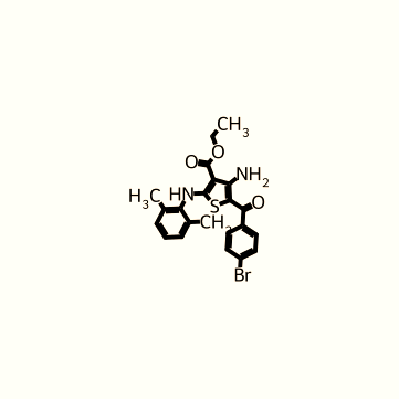 CCOC(=O)c1c(Nc2c(C)cccc2C)sc(C(=O)c2ccc(Br)cc2)c1N